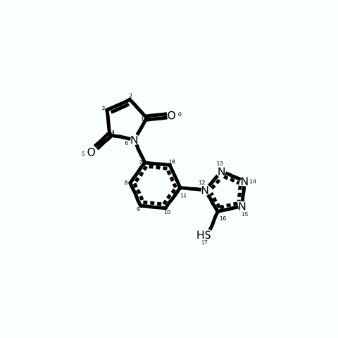 O=C1C=CC(=O)N1c1cccc(-n2nnnc2S)c1